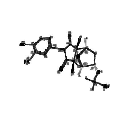 CC(C)(C)[Si](C)(C)O[C@H]1C[C@@]2(C)O[C@]1(C)[C@@H]1C(=O)N(c3ccc(C#N)c(C(F)(F)F)c3)C(=O)[C@@H]12